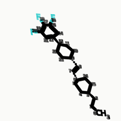 CCC[C@H]1CC[C@H](/C=C/[C@H]2CC[C@H](c3cc(F)c(F)c(F)c3)CC2)CC1